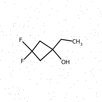 CCC1(O)CC(F)(F)C1